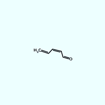 C=C/C=C\C=O